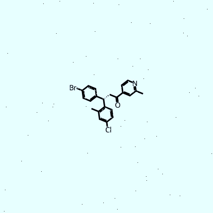 Cc1cc(C(=O)C[C@@H](c2ccc(Br)cc2)c2ccc(Cl)cc2C)ccn1